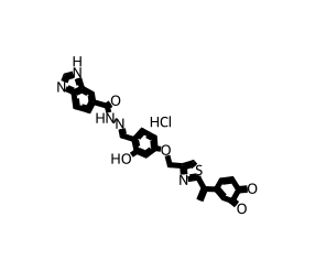 C=C(C1=CC(=O)C(=O)C=C1)c1nc(COc2ccc(C=NNC(=O)c3ccc4nc[nH]c4c3)c(O)c2)cs1.Cl